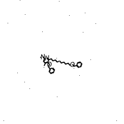 Cc1cc(N(C)C)nc(CCCCCCCCCCOCc2ccccc2)c1OCc1ccccc1